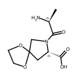 C[C@H](N)C(=O)N1CC2(C[C@H]1C(=O)O)OCCO2